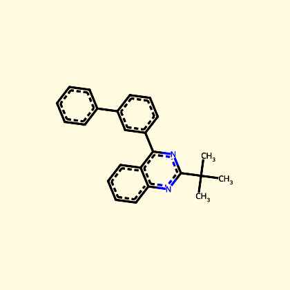 CC(C)(C)c1nc(-c2cccc(-c3ccccc3)c2)c2ccccc2n1